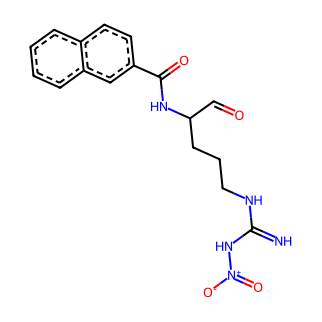 N=C(NCCCC(C=O)NC(=O)c1ccc2ccccc2c1)N[N+](=O)[O-]